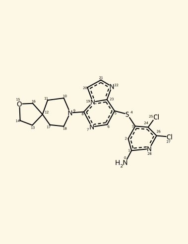 Nc1cc(Sc2cnc(N3CCC4(CCOC4)CC3)n3ccnc23)c(Cl)c(Cl)n1